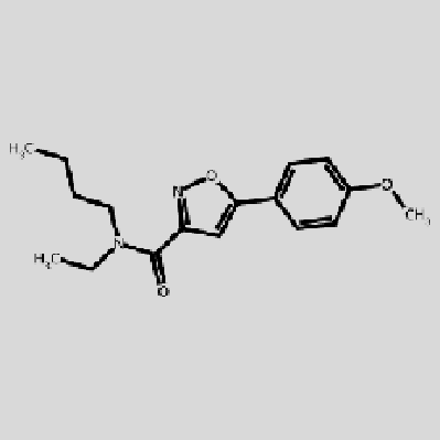 CCCCN(CC)C(=O)c1cc(-c2ccc(OC)cc2)on1